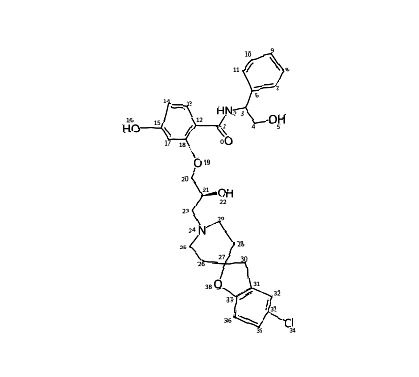 O=C(NC(CO)c1ccccc1)c1ccc(O)cc1OC[C@@H](O)CN1CCC2(CC1)Cc1cc(Cl)ccc1O2